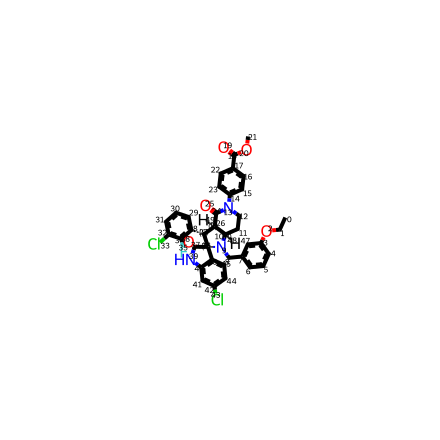 CCOc1cccc(CN2[C@@H]3CCN(c4ccc(C(=O)OC)cc4)C(=O)[C@@H]3[C@@H](c3cccc(Cl)c3F)[C@@]23C(=O)Nc2cc(Cl)ccc23)c1